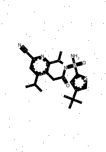 CC(C)c1cc(C#N)nc(C(C)C)c1CC(=O)N=S(N)(=O)c1cc(C(C)(C)C)cs1